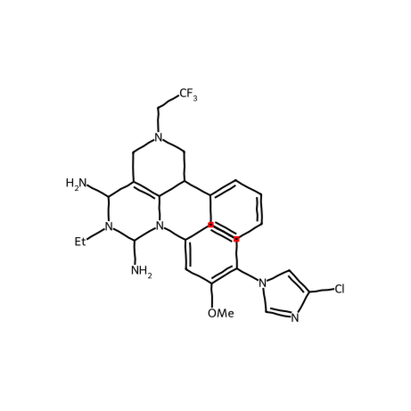 CCN1C(N)C2=C(C(c3ccccc3)CN(CC(F)(F)F)C2)N(c2ccc(-n3cnc(Cl)c3)c(OC)c2)C1N